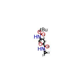 CC(C)(C)OC(=O)N[C@@H]1CC[C@@H](C(=O)NC2CC2)OC1